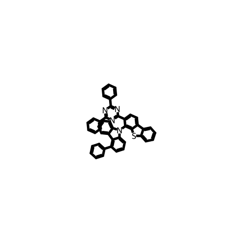 c1ccc(-c2nc(-c3ccccc3)nc(-c3ccc4c(sc5ccccc54)c3-n3c4ccccc4c4c(-c5ccccc5)cccc43)n2)cc1